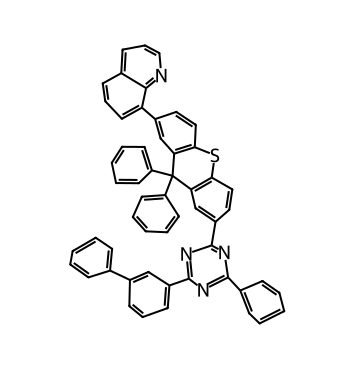 c1ccc(-c2cccc(-c3nc(-c4ccccc4)nc(-c4ccc5c(c4)C(c4ccccc4)(c4ccccc4)c4cc(-c6cccc7cccnc67)ccc4S5)n3)c2)cc1